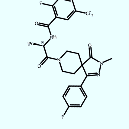 CC(C)[C@@H](NC(=O)c1cc(C(F)(F)F)ccc1F)C(=O)N1CCC2(CC1)C(=O)N(C)N=C2c1ccc(F)cc1